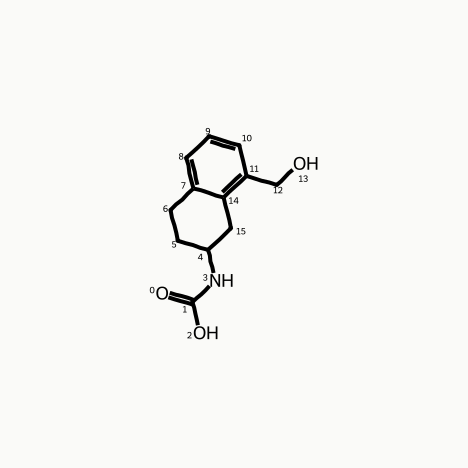 O=C(O)NC1CCc2cccc(CO)c2C1